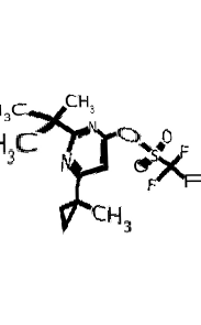 CC(C)(C)c1nc(OS(=O)(=O)C(F)(F)F)cc(C2(C)CC2)n1